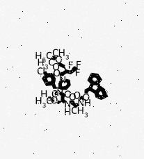 COC[C@H](NC(=O)[C@H](C)NC(=O)OCC1c2ccccc2-c2ccccc21)C(=O)N(C)[C@@]1(Cc2ccc(Cl)cc2)CCCN(C(=O)[C@@H](CC(=O)OC(C)(C)C)CC(F)(F)F)C1